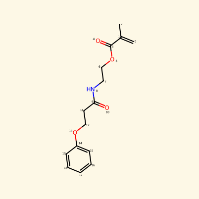 C=C(C)C(=O)OCCNC(=O)CCOc1ccccc1